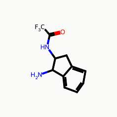 NC1c2ccccc2CC1NC(=O)C(F)(F)F